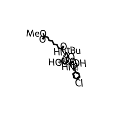 COC(=O)CCCCCCC(=O)NC(C(=O)N1C[C@H](O)C[C@H]1C(=O)N[C@@H](CO)c1ccc(Cl)cc1)C(C)(C)C